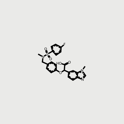 CN(Cc1ccc(OC(C(=O)O)c2ccc3ncn(C)c3c2)cc1)S(=O)(=O)c1ccc(F)cc1